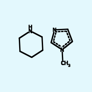 C1CCNCC1.Cn1ccnc1